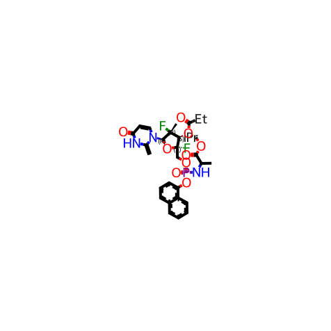 C=C1NC(=O)C=CN1[C@@H]1O[C@](F)(COP(=O)(NC(C)C(=O)OC(C)C)Oc2cccc3ccccc23)[C@@H](OC(=O)CC)[C@@]1(C)F